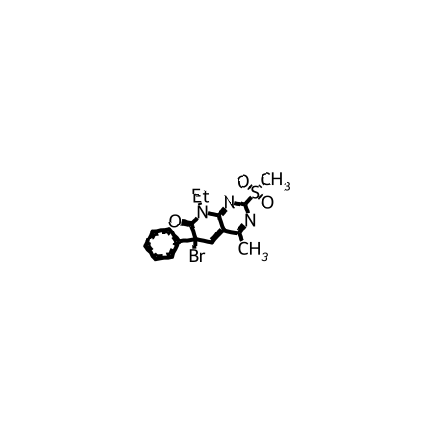 CCN1C(=O)C(Br)(c2ccccc2)C=C2C(C)=NC(S(C)(=O)=O)N=C21